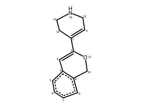 C1=C(C2=Cc3ccccc3CO2)CCNC1